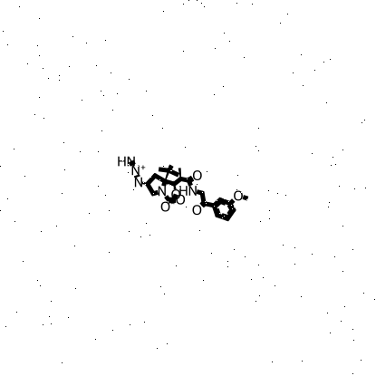 COc1cccc(C(=O)CNC(=O)[C@H](C)[C@@H](OC)[C@@]2(C(C)(C)C)C[C@H](N=[N+]=N)CN2C(=O)[O-])c1